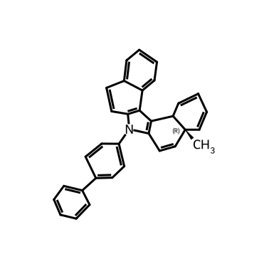 C[C@]12C=CC=CC1c1c(n(-c3ccc(-c4ccccc4)cc3)c3ccc4ccccc4c13)C=C2